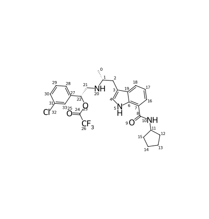 C[C@H](Cc1c[nH]c2c(C(=O)NC3CCCC3)cccc12)NC[C@H](OC(=O)C(F)(F)F)c1cccc(Cl)c1